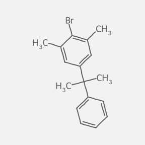 Cc1cc(C(C)(C)c2ccccc2)cc(C)c1Br